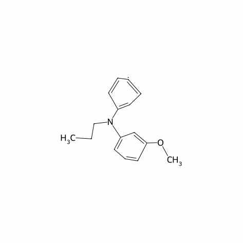 CCCN(c1cc[c]cc1)c1cccc(OC)c1